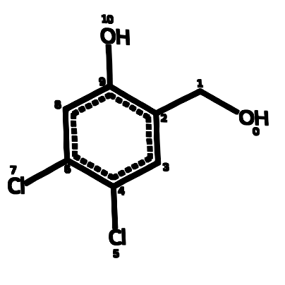 OCc1cc(Cl)c(Cl)cc1O